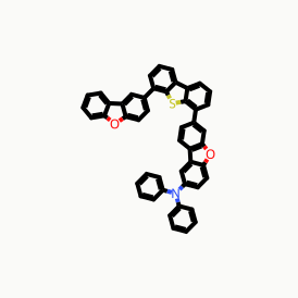 c1ccc(N(c2ccccc2)c2ccc3oc4cc(-c5cccc6c5sc5c(-c7ccc8oc9ccccc9c8c7)cccc56)ccc4c3c2)cc1